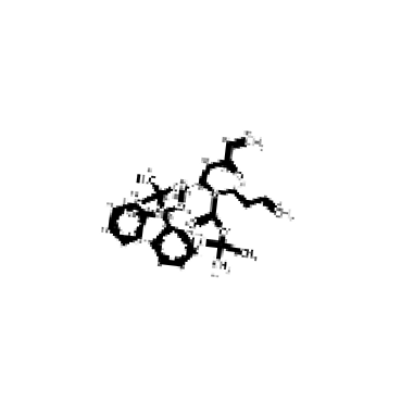 C=CCCN(C(=O)OC(C)(C)C)[C@H](CO[Si](c1ccccc1)(c1ccccc1)C(C)(C)C)CC(=O)C=C